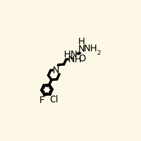 NNC(=O)NNCCCN1CCC(c2ccc(F)c(Cl)c2)CC1